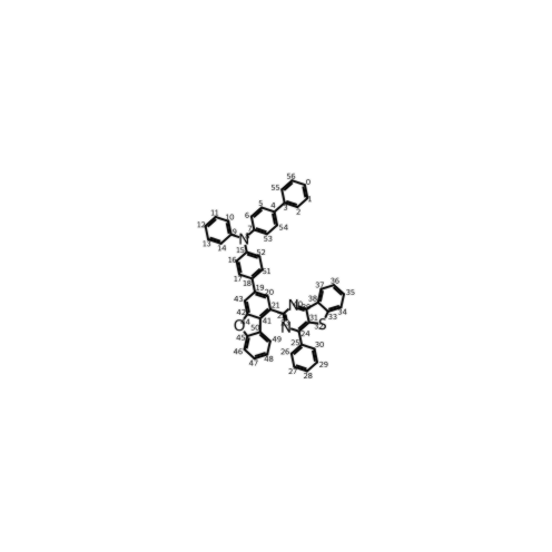 c1ccc(-c2ccc(N(c3ccccc3)c3ccc(-c4cc(-c5nc(-c6ccccc6)c6sc7ccccc7c6n5)c5c(c4)oc4ccccc45)cc3)cc2)cc1